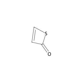 O=C1C=CS1